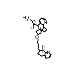 CCOC(=O)C(c1cccnc1C1CCC1)N1CCC(OCCCCC2CCc3cccnc3N2)C1